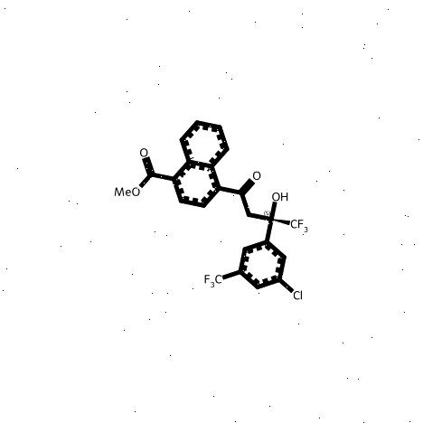 COC(=O)c1ccc(C(=O)C[C@](O)(c2cc(Cl)cc(C(F)(F)F)c2)C(F)(F)F)c2ccccc12